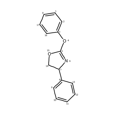 c1ccc(OC2=NC(c3ccccc3)CO2)cc1